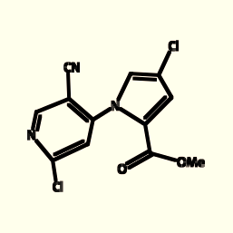 COC(=O)c1cc(Cl)cn1-c1cc(Cl)ncc1C#N